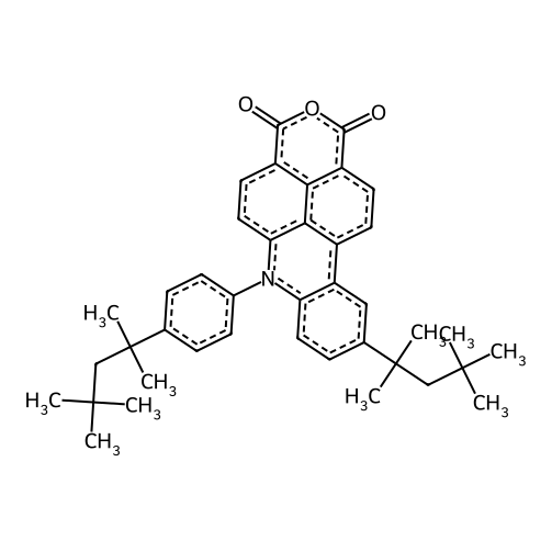 CC(C)(C)CC(C)(C)c1ccc(-n2c3ccc(C(C)(C)CC(C)(C)C)cc3c3ccc4c(=O)oc(=O)c5ccc2c3c45)cc1